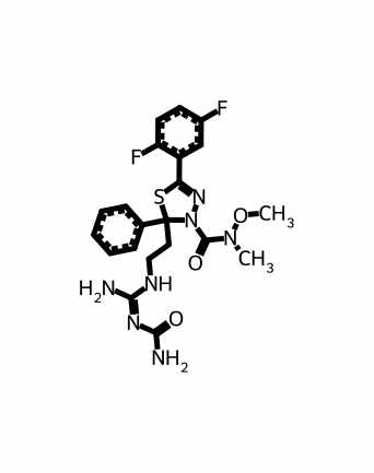 CON(C)C(=O)N1N=C(c2cc(F)ccc2F)SC1(CCN/C(N)=N\C(N)=O)c1ccccc1